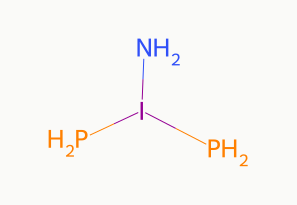 NI(P)P